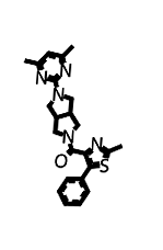 Cc1cc(C)nc(N2CC3CN(C(=O)c4nc(C)sc4-c4ccccc4)CC3C2)n1